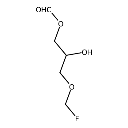 O=COCC(O)COCF